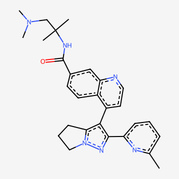 Cc1cccc(-c2nn3c(c2-c2ccnc4cc(C(=O)NC(C)(C)CN(C)C)ccc24)CCC3)n1